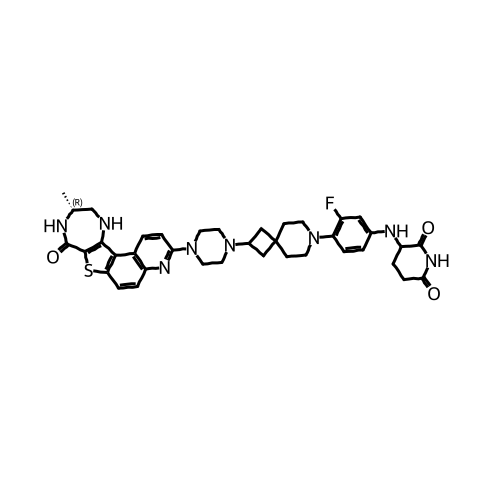 C[C@@H]1CNc2c(sc3ccc4nc(N5CCN(C6CC7(CCN(c8ccc(NC9CCC(=O)NC9=O)cc8F)CC7)C6)CC5)ccc4c23)C(=O)N1